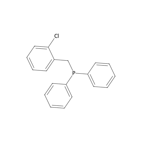 Clc1ccccc1CP(c1ccccc1)c1ccccc1